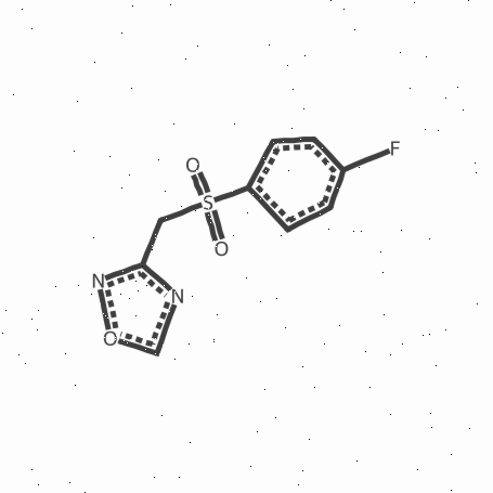 O=S(=O)(Cc1ncon1)c1ccc(F)cc1